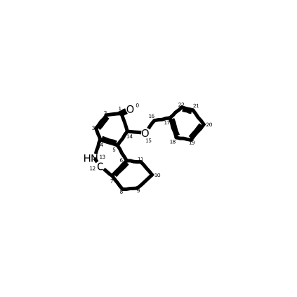 O=C1C=CC2=C(C3=C(CCCC3)CN2)C1OCc1ccccc1